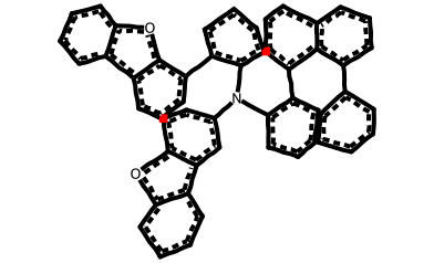 c1ccc(-c2cccc3cccc(-c4ccccc4N(c4ccc5oc6ccccc6c5c4)c4ccccc4-c4cccc5c4oc4ccccc45)c23)cc1